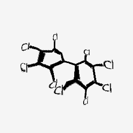 Clc1cc(-c2c(Cl)c(Cl)c(Cl)c(Cl)c2Cl)c(Cl)c(Cl)c1Cl